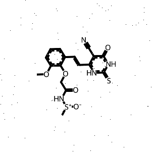 COc1cccc(/C=C/c2[nH]c(=S)[nH]c(=O)c2C#N)c1OCC(=O)N[S+](C)[O-]